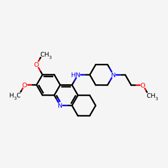 COCCN1CCC(Nc2c3c(nc4cc(OC)c(OC)cc24)CCCC3)CC1